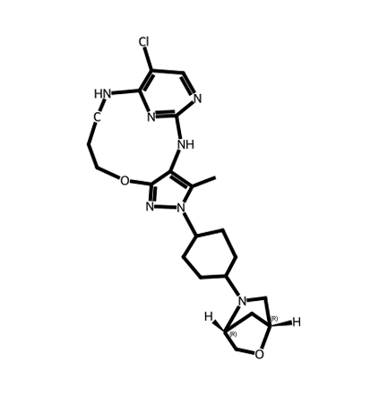 Cc1c2c(nn1C1CCC(N3C[C@H]4C[C@@H]3CO4)CC1)OCCCNc1nc(ncc1Cl)N2